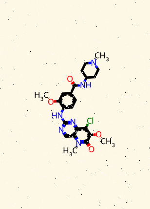 COc1cc(C(=O)NC2CCN(C)CC2)ccc1Nc1ncc2c(n1)c(Cl)c(OC)c(=O)n2C